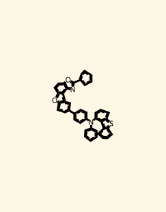 c1ccc(-c2nc3c(ccc4oc5ccc(-c6ccc(N(c7ccccc7)c7cccc8sc9ccccc9c78)cc6)cc5c43)o2)cc1